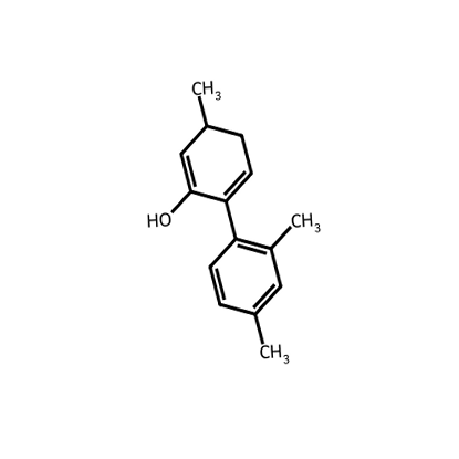 Cc1ccc(C2=CCC(C)C=C2O)c(C)c1